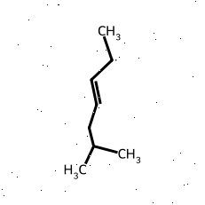 C[CH]C=CCC(C)C